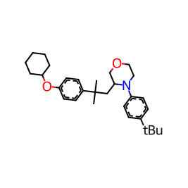 CC(C)(C)c1ccc(N2CCOCC2CC(C)(C)c2ccc(OC3CCCCC3)cc2)cc1